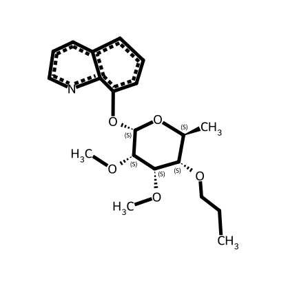 CCCO[C@@H]1[C@H](OC)[C@H](OC)[C@H](Oc2cccc3cccnc23)O[C@H]1C